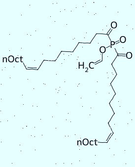 C=COP(=O)(C(=O)CCCCCCC/C=C\CCCCCCCC)C(=O)CCCCCCC/C=C\CCCCCCCC